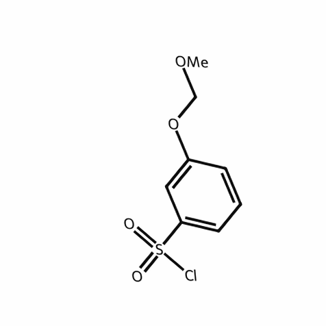 COCOc1cccc(S(=O)(=O)Cl)c1